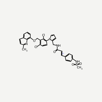 Cc1ccc2cccc(OCc3c(Cl)ccc(-n4cccc4CNC(=O)/C=C/c4ccc(NS(C)(=O)=O)cc4)c3Cl)c2n1